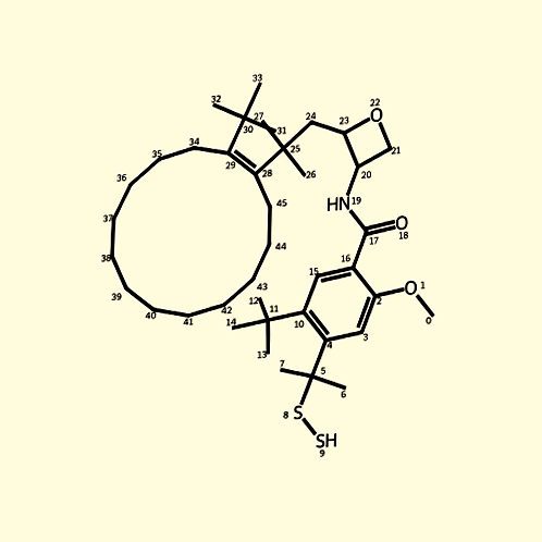 COc1cc(C(C)(C)SS)c(C(C)(C)C)cc1C(=O)NC1COC1CC(C)(C)/C1=C(\C(C)(C)C)CCCCCCCCCCCC1